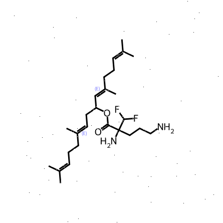 CC(C)=CCC/C(C)=C/CC(/C=C(\C)CCC=C(C)C)OC(=O)C(N)(CCCN)C(F)F